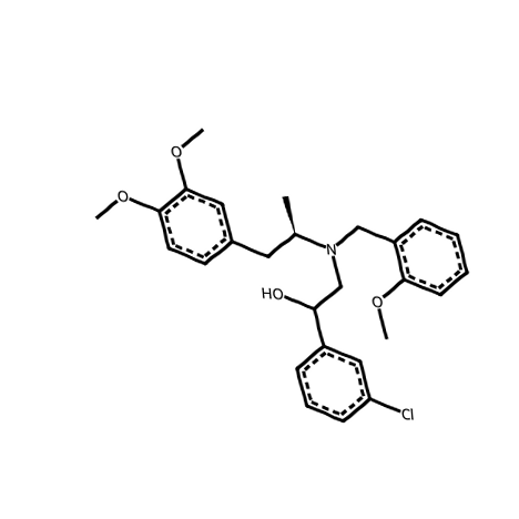 COc1ccccc1CN(CC(O)c1cccc(Cl)c1)[C@H](C)Cc1ccc(OC)c(OC)c1